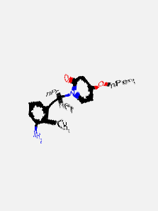 CCCCCOc1ccn(C(CCC)(CCC)c2cccc(N)c2C)c(=O)c1